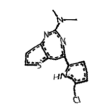 CN(C)c1nc(-c2ccc(Cl)[nH]2)c2sccc2n1